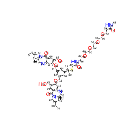 C/C=C1\C[C@H]2C=Nc3cc(OCc4cc(COc5cc6c(cc5CO)C(=O)N5C/C(=C/C)C[C@H]5C=N6)cc(C(C)(C)SCC(=O)NCCOCCOCCOCCOCCC(=O)NC)c4)c(C=O)cc3C(=O)N2C1